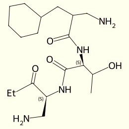 CCC(=O)[C@H](CN)NC(=O)[C@@H](NC(=O)C(CN)CC1CCCCC1)C(C)O